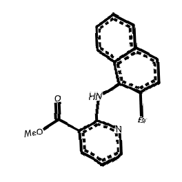 COC(=O)c1cccnc1Nc1c(Br)ccc2ccccc12